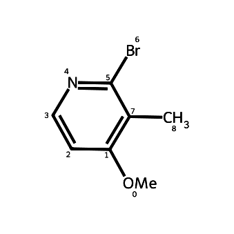 COc1ccnc(Br)c1C